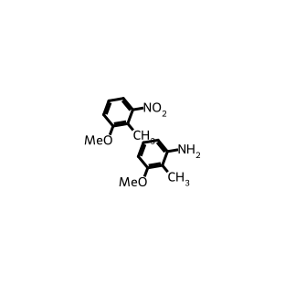 COc1cccc(N)c1C.COc1cccc([N+](=O)[O-])c1C